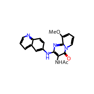 COc1cccn2c(=O)c(NC(C)=O)c(Nc3ccc4ncccc4c3)nc12